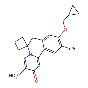 CCCc1cc2c(cc1OCC1CC1)CC1(CCC1)n1cc(C(=O)O)c(=O)cc1-2